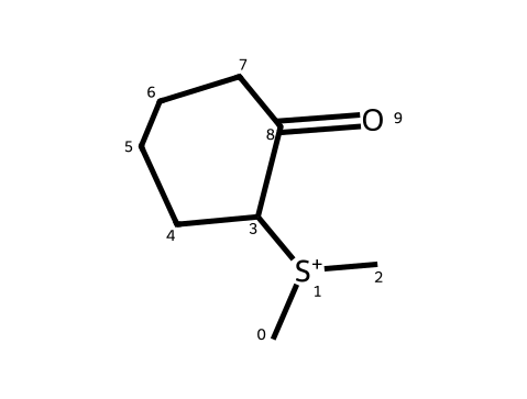 C[S+](C)C1CCCCC1=O